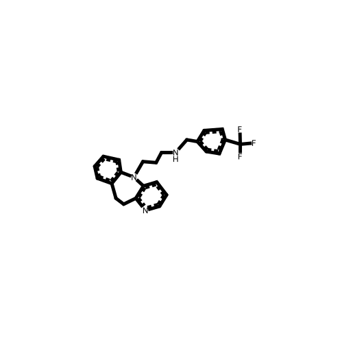 FC(F)(F)c1ccc(CNCCCN2c3ccccc3CCc3ncccc32)cc1